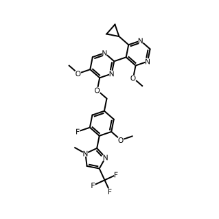 COc1cnc(-c2c(OC)ncnc2C2CC2)nc1OCc1cc(F)c(-c2nc(C(F)(F)F)cn2C)c(OC)c1